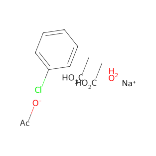 CC(=O)O.CC(=O)O.CC(=O)[O-].Clc1ccccc1.O.[Na+]